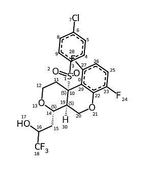 O=S(=O)(c1ccc(Cl)cc1)[C@@]12CCO[C@@H](CC(O)C(F)(F)F)[C@@H]1COc1c(F)ccc(F)c12